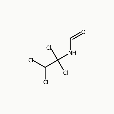 O=CNC(Cl)(Cl)C(Cl)Cl